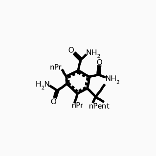 CCCCCC(C)(C)c1c(CCC)c(C(N)=O)c(CCC)c(C(N)=O)c1C(N)=O